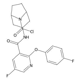 O=C(NC1CC2CCC(C1)N2C(=O)Cl)c1cc(F)cnc1Oc1ccc(F)cc1